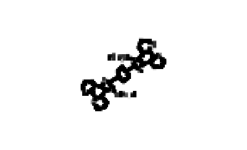 CCCCCCCn1c(-c2ccc(-c3nc4c5cccnc5c5ncccc5c4n3CCCCCCC)cc2)nc2c3cccnc3c3ncccc3c21